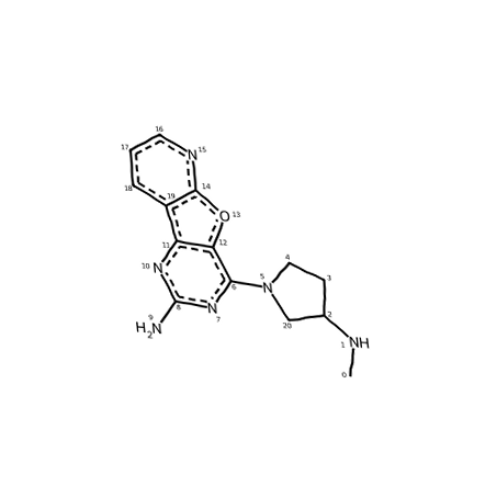 CNC1CCN(c2nc(N)nc3c2oc2ncccc23)C1